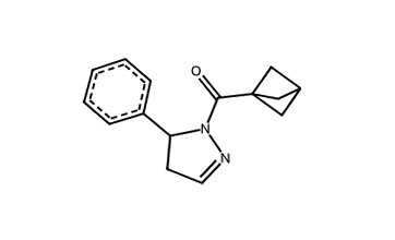 O=C(N1N=CCC1c1ccccc1)C12CC(C1)C2